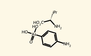 CC(C)[C@H](N)C(=O)O.Nc1ccc([As](=O)(O)O)cc1